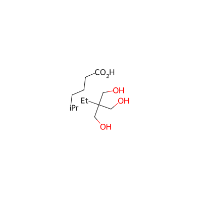 CC(C)CCCC(=O)O.CCC(CO)(CO)CO